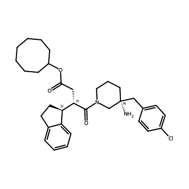 N[C@@]1(Cc2ccc(Cl)cc2)CCCN(C(=O)[C@@H](CC(=O)OC2CCCCCCC2)[C@@H]2CCc3ccccc32)C1